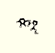 CC(C)(C)OC(=O)N1CC=C[C@H]1C(=O)Nc1ccc(F)c(Cl)c1F